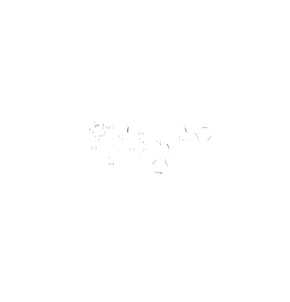 CC1(C)S[C@@H]2C(NC(=O)C(NC(=O)CNC(=O)c3ccccc3)c3ccccc3)C(=O)N2C1c1nnn[nH]1